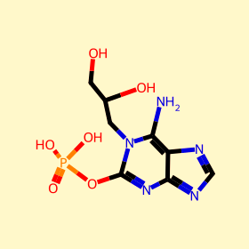 Nc1c2ncnc-2nc(OP(=O)(O)O)n1CC(O)CO